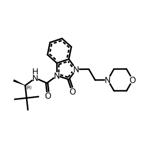 C[C@@H](NC(=O)n1c(=O)n(CCN2CCOCC2)c2ccccc21)C(C)(C)C